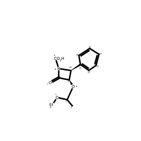 CCOC(C)O[C@H]1C(=O)N(C(=O)O)[C@H]1c1ccccc1